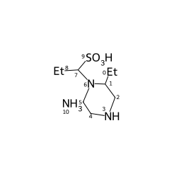 CCC1CNCCN1C(CC)S(=O)(=O)O.N